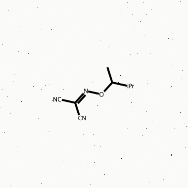 CC(C)C(C)ON=C(C#N)C#N